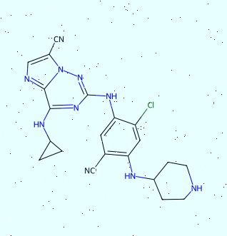 N#Cc1cc(Nc2nc(NC3CC3)c3ncc(C#N)n3n2)c(Cl)cc1NC1CCNCC1